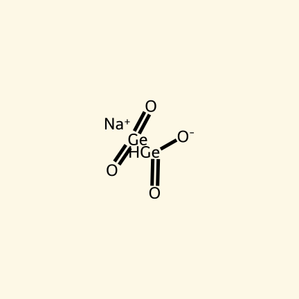 [Na+].[O]=[GeH][O-].[O]=[Ge]=[O]